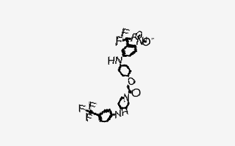 O=C(CO[C@H]1CC[C@H](Nc2ccc([N+](=O)[O-])c(C(F)(F)F)c2)CC1)N1CCC(Nc2ccc(C(F)(F)F)cc2)CC1